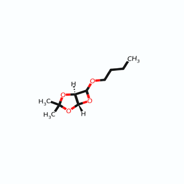 CCCCOC1O[C@@H]2OC(C)(C)O[C@@H]12